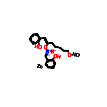 O=NOCCCCCC(=Cc1ccccc1O)O/[N+]([O-])=C/c1ccccc1O.[Zn]